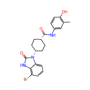 Cc1cc(NC(=O)[C@H]2CC[C@@H](n3c(=O)[nH]c4c(Br)cccc43)CC2)ccc1O